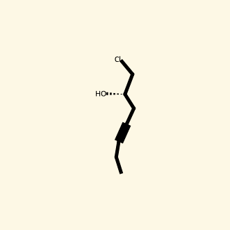 CCC#CC[C@H](O)CCl